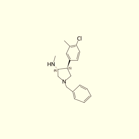 CN[C@H]1CN(Cc2ccccc2)C[C@@H]1c1ccc(Cl)c(C)c1